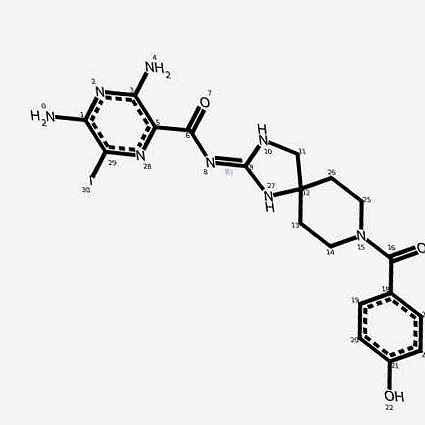 Nc1nc(N)c(C(=O)/N=C2\NCC3(CCN(C(=O)c4ccc(O)cc4)CC3)N2)nc1I